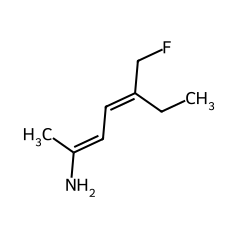 CC/C(=C\C=C(/C)N)CF